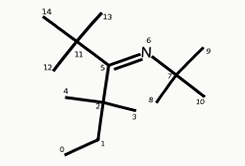 CCC(C)(C)/C(=N\C(C)(C)C)C(C)(C)C